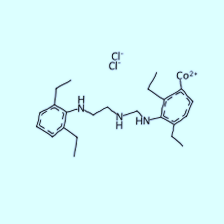 CCc1cccc(CC)c1NCCNCNc1c(CC)cc[c]([Co+2])c1CC.[Cl-].[Cl-]